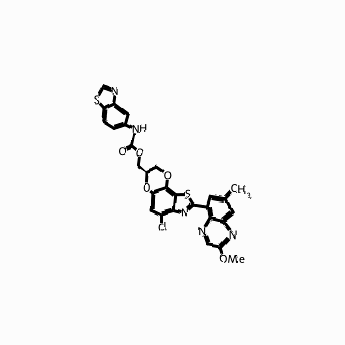 COc1cnc2c(-c3nc4c(Cl)cc5c(c4s3)OC[C@H](COC(=O)Nc3ccc4scnc4c3)O5)cc(C)cc2n1